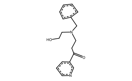 O=C(CCN(CCO)Cc1ccccc1)c1cccnc1